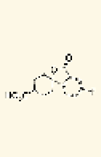 O=C1O[C@]2(CC[C@H](C(=O)O)CC2)c2ccc(F)cc21